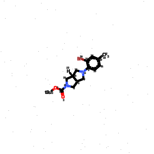 CC(C)(C)OC(=O)N1CC2CN(c3ccc(C(F)(F)F)cc3Br)C[C@H]2C1